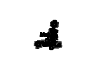 CCC(C(C)(C)F)[C@@](NC)(C(=O)OC(=O)N(C)[C@@H](CC1CC1)C(=O)OCC(=O)OCc1ccccc1)c1ccc(C2CCOCC2)cc1